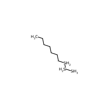 CCCCCC[CH][SiH2][SiH2][SiH3]